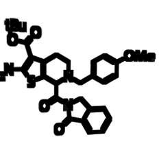 COc1ccc(CN2CCc3c(sc(N)c3C(=O)OC(C)(C)C)C2C(=O)N2Cc3ccccc3C2=O)cc1